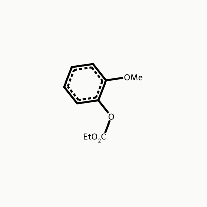 CCOC(=O)Oc1ccccc1OC